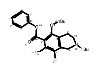 CCCCOc1c2c(c(F)c(C)c1C(=O)Oc1ccccc1)CN([C@H](C)CC)CC2